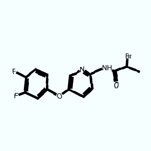 CC(Br)C(=O)Nc1ccc(Oc2ccc(F)c(F)c2)cn1